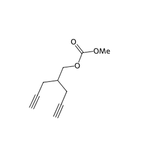 C#CCC(CC#C)COC(=O)O[CH2]